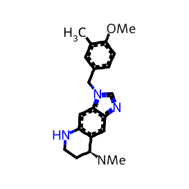 CN[C@H]1CCNc2cc3c(cc21)ncn3Cc1ccc(OC)c(C)c1